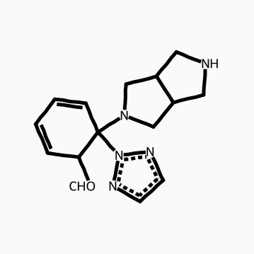 O=CC1C=CC=CC1(N1CC2CNCC2C1)n1nccn1